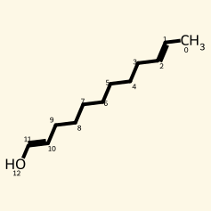 CC=CCCCCCCC/C=C/O